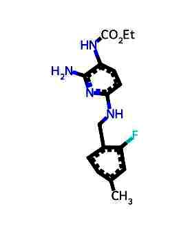 CCOC(=O)Nc1ccc(NCc2ccc(C)cc2F)nc1N